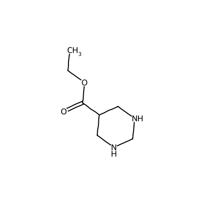 CCOC(=O)C1CNCNC1